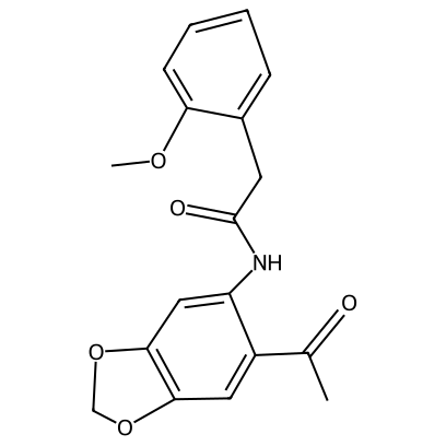 COc1ccccc1CC(=O)Nc1cc2c(cc1C(C)=O)OCO2